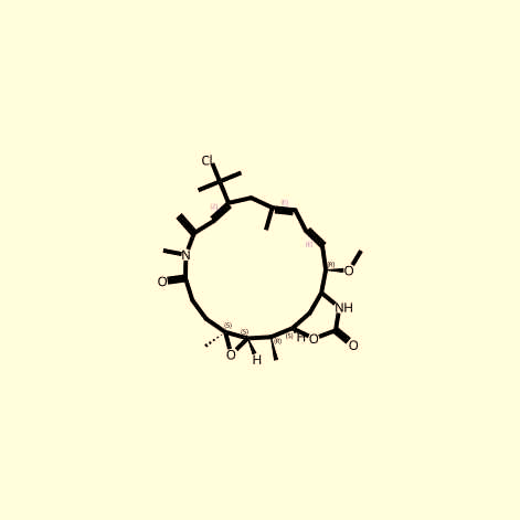 C=C1/C=C(\C(C)(C)Cl)C/C(C)=C/C=C/[C@@H](OC)C2C[C@H](OC(=O)N2)[C@@H](C)[C@@H]2O[C@@]2(C)CCC(=O)N1C